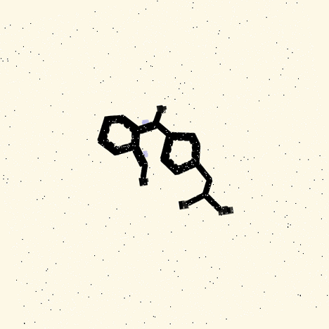 CCCCC(CC)Cc1ccc(/C(Br)=c2/cccc/c2=C\Br)cc1